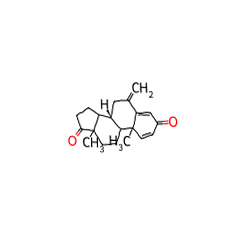 C=C1C[C@@H]2C(CCC3(C)C(=O)CCC23)C2(C)C=CC(=O)C=C12